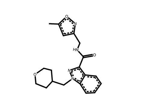 Cc1cc(CNC(=O)c2nn(CC3CCOCC3)c3ccccc23)no1